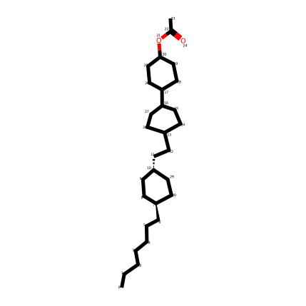 CCCCCCC[C@H]1CC[C@H](CCC2CCC(C3CCC(OC(C)=O)CC3)CC2)CC1